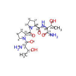 CC(O)[C@H](N)C(=O)N1CCC[C@H]1C(=O)N1CCC[C@H]1C(=O)N[C@H](C(N)=O)C(C)O